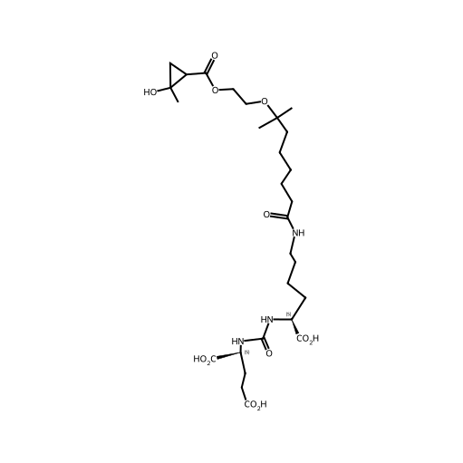 CC(C)(CCCCCC(=O)NCCCC[C@H](NC(=O)N[C@@H](CCC(=O)O)C(=O)O)C(=O)O)OCCOC(=O)C1CC1(C)O